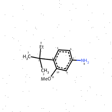 CCC(C)(C)c1ccc(N)cc1OC